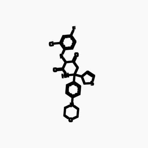 O=C1CC(c2ccc(N3CCOCC3)cc2)(C2C=CSC2)NC(=O)C1Sc1ccc(F)cc1Cl